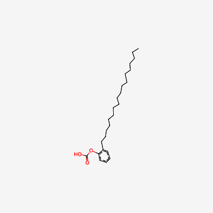 CCCCCCCCCCCCCCCCCCc1ccccc1OC(=O)O